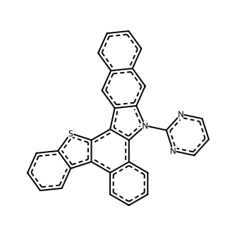 c1cnc(-n2c3cc4ccccc4cc3c3c4sc5ccccc5c4c4ccccc4c32)nc1